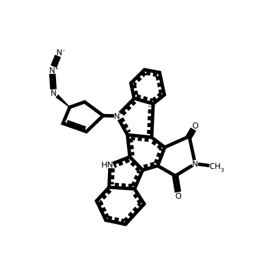 CN1C(=O)c2c(c3c4ccccc4n(C4C=C[C@@H](N=[N+]=[N-])C4)c3c3[nH]c4ccccc4c23)C1=O